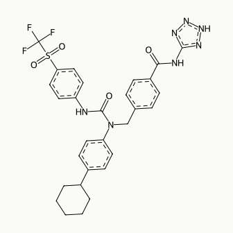 O=C(Nc1nn[nH]n1)c1ccc(CN(C(=O)Nc2ccc(S(=O)(=O)C(F)(F)F)cc2)c2ccc(C3CCCCC3)cc2)cc1